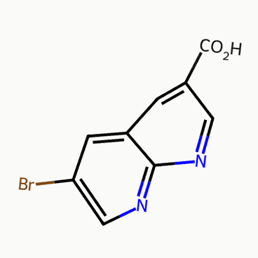 O=C(O)c1cnc2ncc(Br)cc2c1